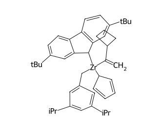 C=[C](C1CCC1)[Zr]([CH2]c1cc(C(C)C)cc(C(C)C)c1)([CH]1C=CC=C1)[CH]1c2cc(C(C)(C)C)ccc2-c2ccc(C(C)(C)C)cc21